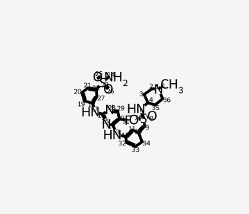 CN1CCC(NS(=O)(=O)C=C2C=C(Nc3nc(Nc4cccc(S(N)(=O)=O)c4)ncc3F)C=CC2)CC1